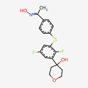 CC(=NO)c1ccc(Sc2cc(F)cc(C3(O)CCOCC3)c2F)cc1